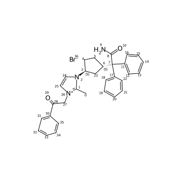 Cc1n([C@H]2CC[C@H](C(C(N)=O)(c3ccccc3)c3ccccc3)C2)cc[n+]1CC(=O)c1ccccc1.[Br-]